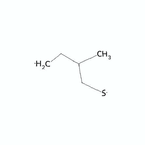 [CH2]CC(C)C[S]